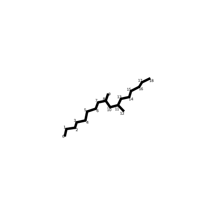 CCCCCCCCC(C)[CH]C(C)CCCCCC